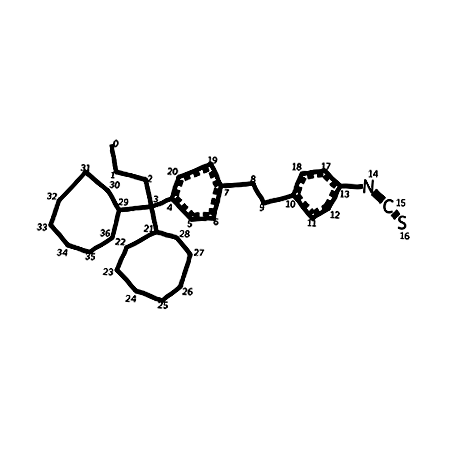 CCCC(c1ccc(CCc2ccc(N=C=S)cc2)cc1)(C1CCCCCCC1)C1CCCCCCC1